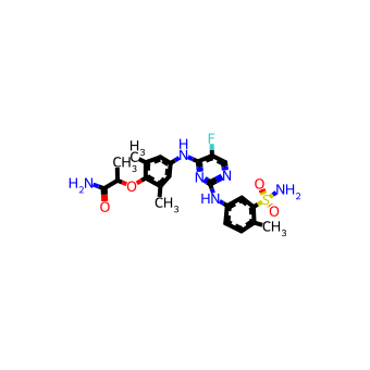 Cc1ccc(Nc2ncc(F)c(Nc3cc(C)c(OC(C)C(N)=O)c(C)c3)n2)cc1S(N)(=O)=O